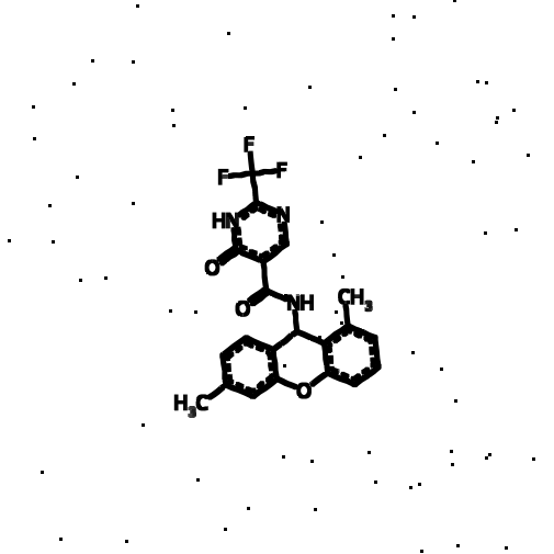 Cc1ccc2c(c1)Oc1cccc(C)c1C2NC(=O)c1cnc(C(F)(F)F)[nH]c1=O